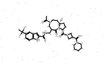 CC(=O)N1CC[C@H]2CC[C@@H](C(=O)N3CC(C(=O)N4CCCCC4)C3)N2C(=O)C(CNC(=O)c2cc3cc(C(C)(F)F)ccc3[nH]2)C1